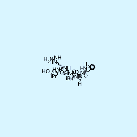 CC[C@H](C)[C@H](NC(=O)[C@H](CS)NC(=O)[C@@H](N)Cc1ccccc1)C(=O)NCC(=O)N[C@@H](CCCNC(=N)N)C(=O)N[C@@H](CC(C)C)C(=O)O